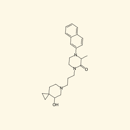 CC1C(=O)N(CCCN2CCC3(CC3)C(O)C2)CCN1c1ccc2ccccc2c1